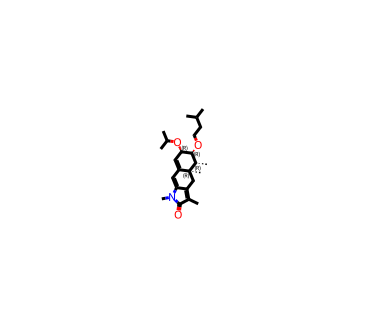 CC1=C2C[C@@]3(C)C(=C[C@@H](OC(C)C)[C@H](OCCC(C)C)[C@@H]3C)C=C2N(C)C1=O